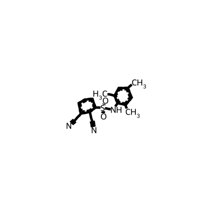 Cc1cc(C)c(NS(=O)(=O)c2cccc(C#N)c2C#N)c(C)c1